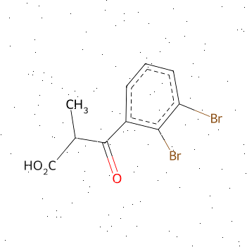 CC(C(=O)O)C(=O)c1cccc(Br)c1Br